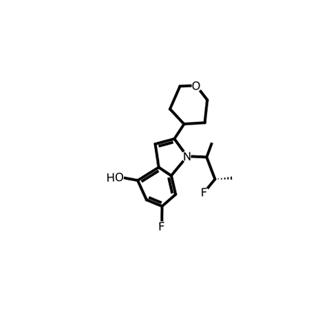 CC([C@H](C)F)n1c(C2CCOCC2)cc2c(O)cc(F)cc21